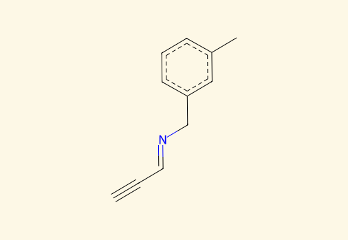 C#CC=NCc1cccc(C)c1